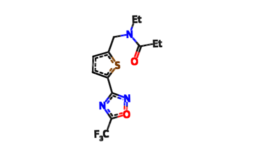 CCC(=O)N(CC)Cc1ccc(-c2noc(C(F)(F)F)n2)s1